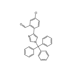 O=Cc1cc(Cl)ccc1-c1cn(C(c2ccccc2)(c2ccccc2)c2ccccc2)cn1